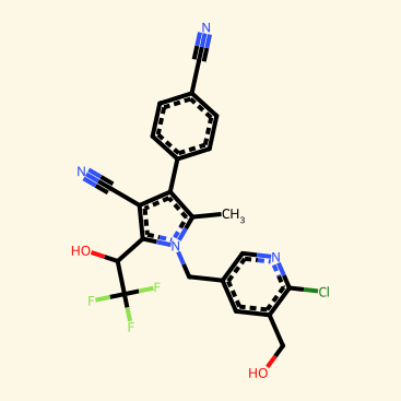 Cc1c(-c2ccc(C#N)cc2)c(C#N)c(C(O)C(F)(F)F)n1Cc1cnc(Cl)c(CO)c1